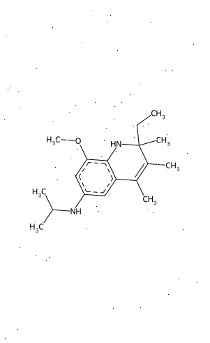 CCC1(C)Nc2c(OC)cc(NC(C)C)cc2C(C)=C1C